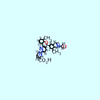 Cc1cc(COc2c(C)cccc2-c2cccc(N3CC4C[C@]4(C(=O)O)C3)n2)cc2c1CN(C1COC1)CC2